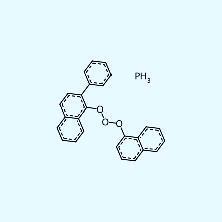 P.c1ccc(-c2ccc3ccccc3c2OOOc2cccc3ccccc23)cc1